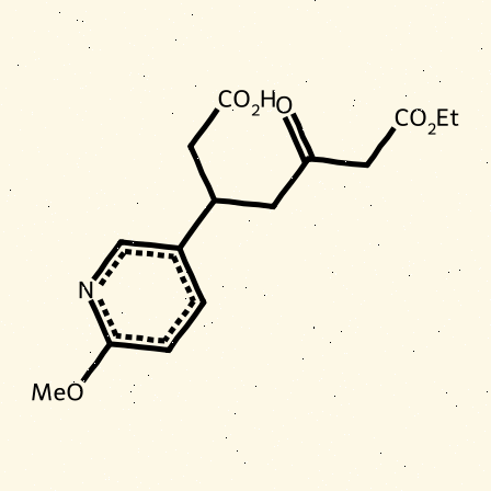 CCOC(=O)CC(=O)CC(CC(=O)O)c1ccc(OC)nc1